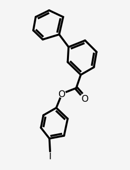 O=C(Oc1ccc(I)cc1)c1cccc(-c2ccccc2)c1